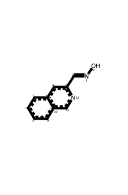 O/N=C/c1cc2ccccc2cn1